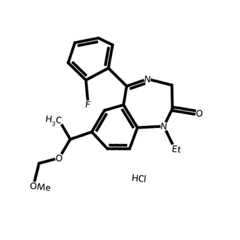 CCN1C(=O)CN=C(c2ccccc2F)c2cc(C(C)OCOC)ccc21.Cl